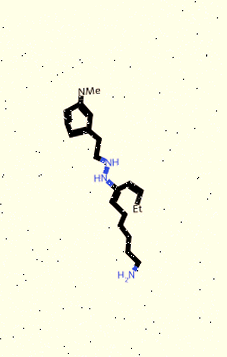 CC/C=C\C(=C/CCCCCN)NNCCc1cccc(NC)c1